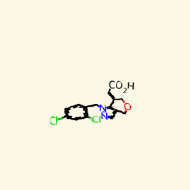 O=C(O)/C=C1\COCc2cnn(Cc3ccc(Cl)cc3Cl)c21